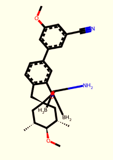 BC1(B)OC(N)=NC12c1cc(-c3cc(C#N)cc(OC)c3)ccc1C[C@@]21C[C@@H](C)[C@H](OC)[C@@H](C)C1